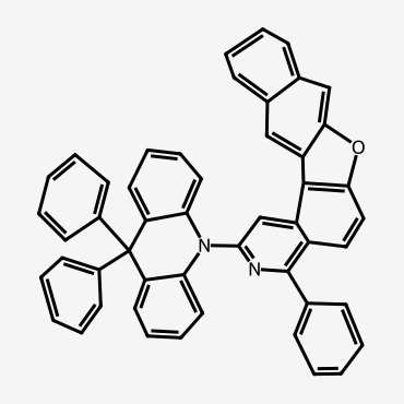 c1ccc(-c2nc(N3c4ccccc4C(c4ccccc4)(c4ccccc4)c4ccccc43)cc3c2ccc2oc4cc5ccccc5cc4c23)cc1